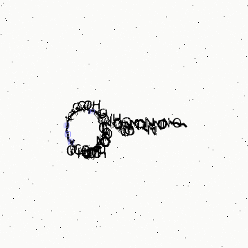 CCCOCCN1CCN(c2ncc3c(n2)CCN(C(=O)O[C@@H]2CC[C@@H](C[C@@H](N)[C@@H]4C[C@@H](OC)[C@H](C)/C=C(\C)[C@@H](O)[C@@H](O)C(=O)[C@H](C)C[C@H](C)/C=C/C=C/C=C(\C)[C@@H](OC)C[C@@H]5CC[C@@H](C)[C@@](O)(O5)C(=O)C(=O)N5CCCC[C@H]5C(=O)O4)C[C@H]2OC)C3)CC1